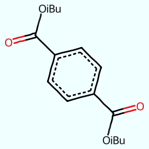 CC(C)COC(=O)c1ccc(C(=O)OCC(C)C)cc1